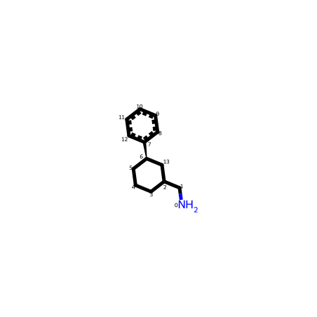 NCC1CCC[C@@H](c2ccccc2)C1